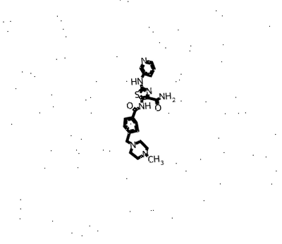 CN1CCN(Cc2ccc(C(=O)Nc3sc(Nc4cccnc4)nc3C(N)=O)cc2)CC1